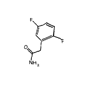 NC(=O)Cc1cc(F)ccc1F